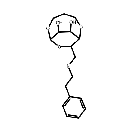 OC1C2OCCCOC(C(CNCCc3ccccc3)O2)C1O